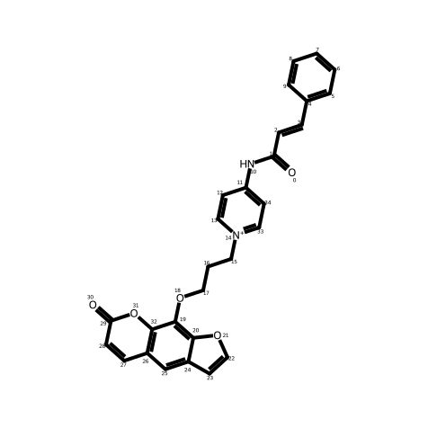 O=C(/C=C/c1ccccc1)Nc1cc[n+](CCCOc2c3occc3cc3ccc(=O)oc23)cc1